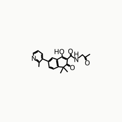 CC(=O)CNC(=O)C1=C(O)c2cc(-c3cccnc3C)ccc2C(C)(C)C1=O